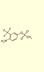 CS(=O)(=O)Oc1ccc(N)c(C(F)(F)F)c1